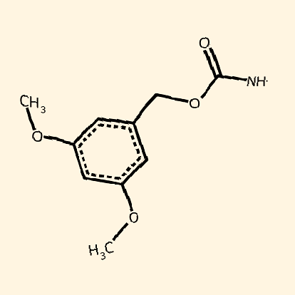 COc1cc(COC([NH])=O)cc(OC)c1